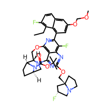 CCc1c(F)ccc2cc(OCOC)cc(-c3nc4c5c(nc(OC[C@@]67CCCN6C[C@H](F)C7)nc5c3F)N3C[C@H]5CC[C@@H]([C@@H]3CO4)N5C(=O)OC(C)(C)C)c12